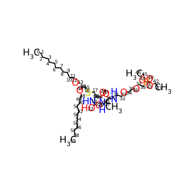 CCCCCCCCCCCCOC[C@H](CSC[C@H](NC(=O)O)C(=O)N[C@@H](C)C(=O)NCCOCCOCCP(=O)(OCC)OCC)OCCCCCCCCCCCC